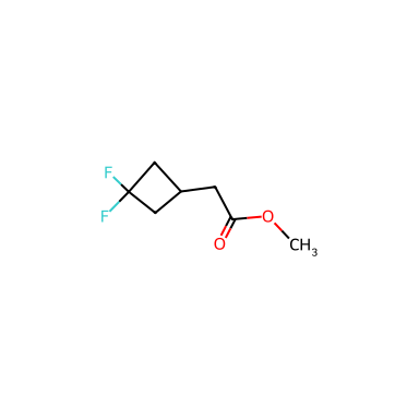 COC(=O)CC1CC(F)(F)C1